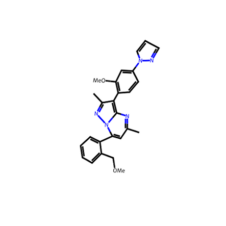 COCc1ccccc1-c1cc(C)nc2c(-c3ccc(-n4cccn4)cc3OC)c(C)nn12